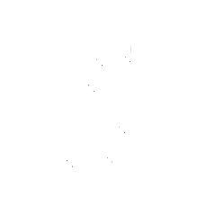 N#CCC(N)c1ncc(-c2ncnc3[nH]ccc23)s1